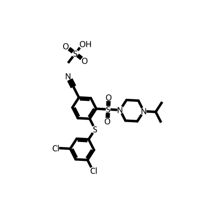 CC(C)N1CCN(S(=O)(=O)c2cc(C#N)ccc2Sc2cc(Cl)cc(Cl)c2)CC1.CS(=O)(=O)O